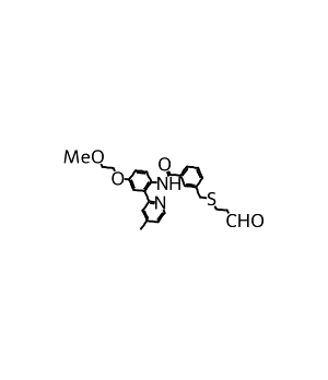 COCCOc1ccc(NC(=O)c2cccc(CSCCC=O)c2)c(-c2cc(C)ccn2)c1